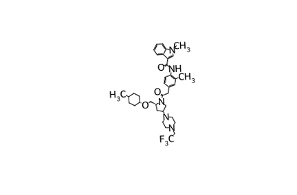 Cc1cc(CC(=O)N2C[C@@H](N3CCN(CC(F)(F)F)CC3)C[C@H]2CO[C@H]2CC[C@H](C)CC2)ccc1NC(=O)c1cn(C)c2ccccc12